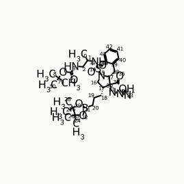 CC(CNC(=O)OC(C)(C)C)NS(=O)(=O)N1C[C@@H](CCCB2OC(C)(C)C(C)(C)O2)C(N=[N+]=[N-])(C(=O)O)[C@@H]1Cc1ccccc1